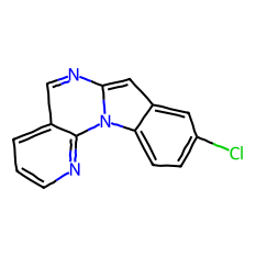 Clc1ccc2c(c1)cc1ncc3cccnc3n12